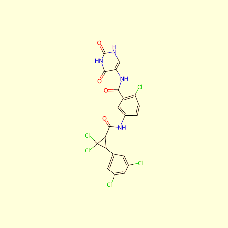 O=C(Nc1c[nH]c(=O)[nH]c1=O)c1cc(NC(=O)C2C(c3cc(Cl)cc(Cl)c3)C2(Cl)Cl)ccc1Cl